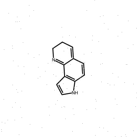 C1=c2ccc3[nH]ccc3c2=NCC1